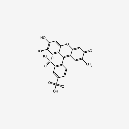 Cc1cc2c(-c3ccc(S(=O)(=O)O)cc3S(=O)(=O)O)c3cc(O)c(O)cc3oc-2cc1=O